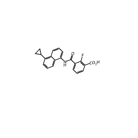 O=C(O)c1cccc(C(=O)Nc2cccc3c(C4CC4)cccc23)c1F